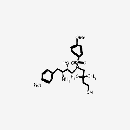 COc1ccc(S(=O)(=O)N(C[C@@H](O)[C@@H](N)Cc2ccccc2)CC(C)(C)CCC#N)cc1.Cl